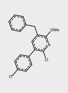 COc1nc(Cl)c(-c2ccc(Cl)cc2)cc1Cc1ccccc1